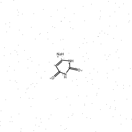 O=c1cc[nH]c(=O)[nH]1.[NaH]